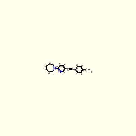 Cc1ccc(C#Cc2ccc(N3CCCCCC3)nc2)cc1